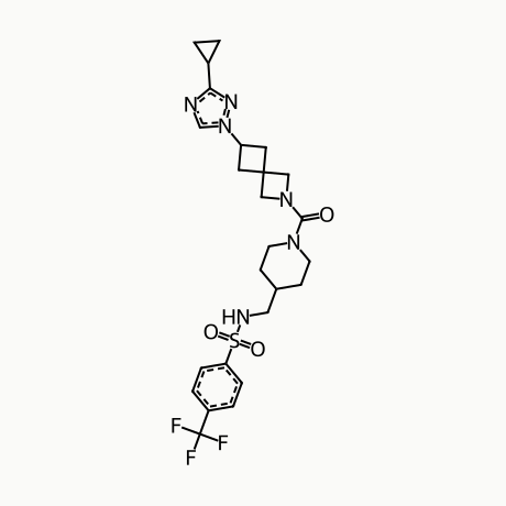 O=C(N1CCC(CNS(=O)(=O)c2ccc(C(F)(F)F)cc2)CC1)N1CC2(CC(n3cnc(C4CC4)n3)C2)C1